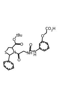 CC(C)(C)OC(=O)C1CSC(c2ccccc2)N1C(=O)CNC(=O)Nc1cccc(OCC(=O)O)c1